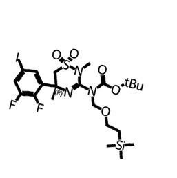 CN1C(N(COCC[Si](C)(C)C)C(=O)OC(C)(C)C)=N[C@](C)(c2cc(I)cc(F)c2F)CS1(=O)=O